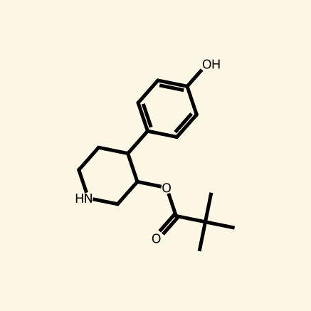 CC(C)(C)C(=O)OC1CNCCC1c1ccc(O)cc1